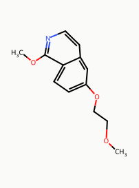 COCCOc1ccc2c(OC)nccc2c1